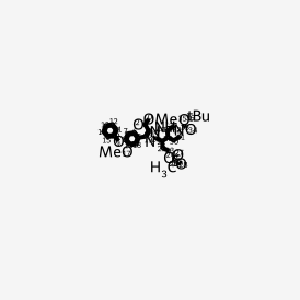 COC(=O)c1c(-c2ccc(Oc3ccccc3)c(OC)c2)nc(C(CCOS(C)(=O)=O)C2CCN(C(=O)OC(C)(C)C)CC2)n1N